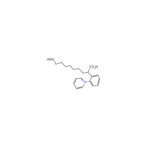 CCCCCCCCCCCCCCCCCC(C(=O)O)c1ccccc1-[n+]1ccccc1